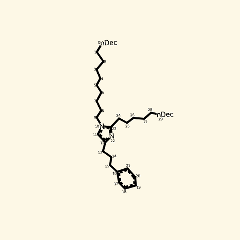 CCCCCCCCCCCCCCCCCCCn1cc(CCCc2ccccc2)nc1CCCCCCCCCCCCCCC